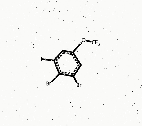 FC(F)(F)Oc1cc(Br)c(Br)c(I)c1